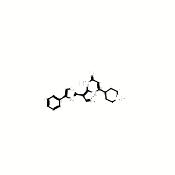 O=c1cc(C2CCNCC2)n2ncc(-c3nc(-c4ccccc4)cs3)c2[nH]1